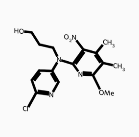 COc1nc(N(CCCO)c2ccc(Cl)nc2)c([N+](=O)[O-])c(C)c1C